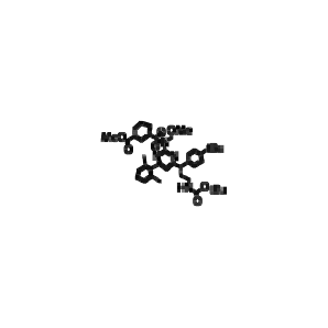 COCN(c1nc(-c2c(C)cccc2C)cc(C(CCNC(=O)OC(C)(C)C)c2ccc(C(C)(C)C)cc2)n1)S(=O)(=O)c1cccc(C(=O)OC)c1